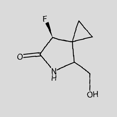 O=C1NC(CO)C2(CC2)[C@@H]1F